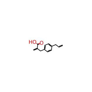 C=CCc1ccc(CC(=C)C(=O)O)cc1